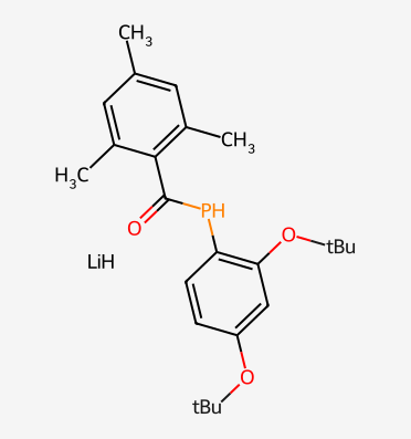 Cc1cc(C)c(C(=O)Pc2ccc(OC(C)(C)C)cc2OC(C)(C)C)c(C)c1.[LiH]